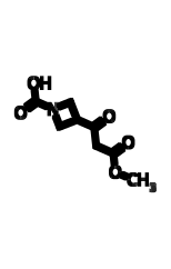 COC(=O)CC(=O)C1CN(C(=O)O)C1